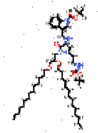 CCCCCCCCCCCCCCOCC(CNC(=O)[C@H](CCCCNC(=O)OC(C)(C)C)NCc1cn(C(=O)OC(C)(C)C)c2ccccc12)OCCCCCCCCCCCCCC